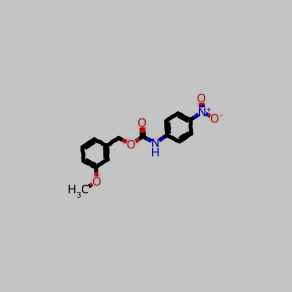 COc1cccc(COC(=O)Nc2ccc([N+](=O)[O-])cc2)c1